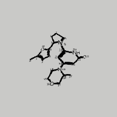 Cc1ccc(C2CCCN2c2cc(N3CCOCC3C)cc(=O)[nH]2)o1